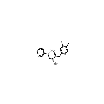 CCCN(C[C@@H](O)c1cccnc1)C(=O)Cc1ccc(C)c(C)c1